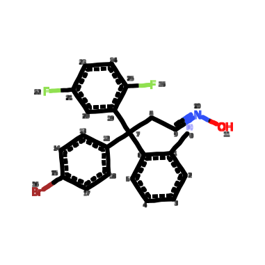 Cc1ccccc1C(C/C=N/O)(c1ccc(Br)cc1)c1cc(F)ccc1F